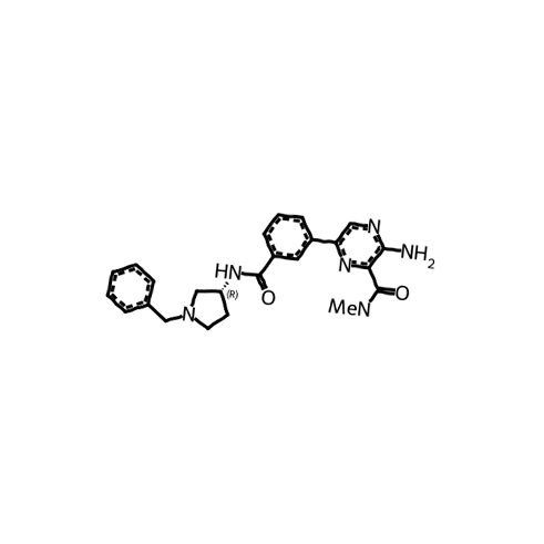 CNC(=O)c1nc(-c2cccc(C(=O)N[C@@H]3CCN(Cc4ccccc4)C3)c2)cnc1N